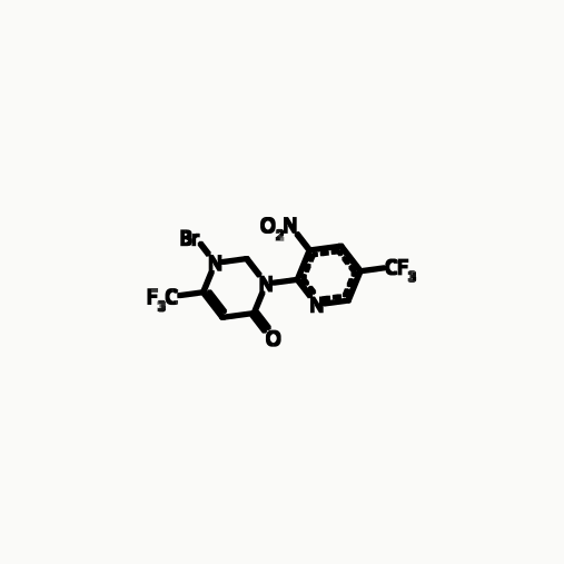 O=C1C=C(C(F)(F)F)N(Br)CN1c1ncc(C(F)(F)F)cc1[N+](=O)[O-]